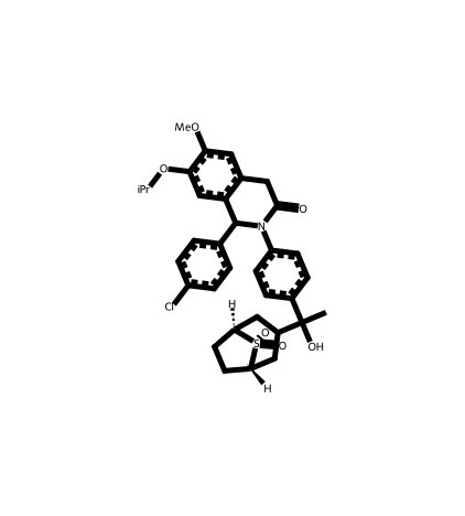 COc1cc2c(cc1OC(C)C)C(c1ccc(Cl)cc1)N(c1ccc(C(C)(O)C3C[C@@H]4CC[C@@H](C3)S4(=O)=O)cc1)C(=O)C2